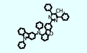 Cc1c(-c2ccccc2)nc(-c2ccc3c(c2)oc2cccc(N(c4ccccc4)c4ccc5c(c4)c4ccccc4n5-c4ccccc4)c23)nc1-c1ccccc1